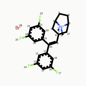 C[N+]1(C)C2CCC1CC(C=C(c1cc(F)cc(F)c1)c1cc(F)cc(F)c1)C2.[Br-]